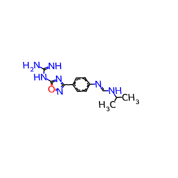 CC(C)N/C=N/c1ccc(-c2noc(NC(=N)N)n2)cc1